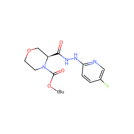 CC(C)(C)OC(=O)N1CCOC[C@H]1C(=O)NNc1ccc(F)cn1